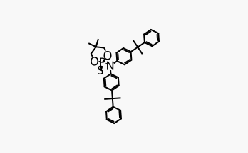 CC1(C)COP(=S)(N(c2ccc(C(C)(C)c3ccccc3)cc2)c2ccc(C(C)(C)c3ccccc3)cc2)OC1